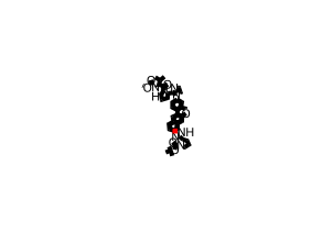 COC(=O)N[C@H](C(=O)N1CCCC1c1nccn1-c1ccc2c(c1)COc1cc3c(ccc4nc(C5CCCN5C(=O)OC(C)(C)C)[nH]c43)cc1-2)C(C)C